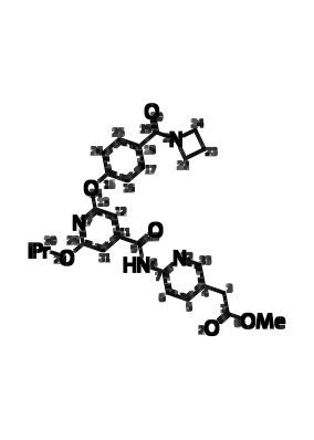 COC(=O)Cc1ccc(NC(=O)c2cc(Oc3ccc(C(=O)N4CCC4)cc3)nc(OC(C)C)c2)nc1